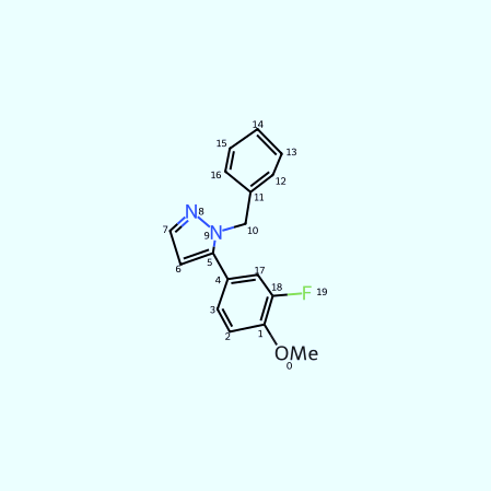 COc1ccc(-c2ccnn2Cc2ccccc2)cc1F